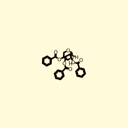 O=C(O[C@@H]1[C@@H](OC(=O)c2ccccc2)C2OCC1(OC(=O)c1ccccc1)CO2)c1ccccc1